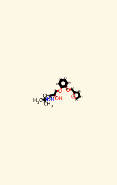 CC(C)(C)NCC(O)COc1ccccc1OCC1CCCO1